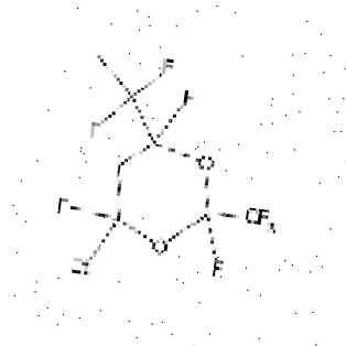 CCC1(F)CC(F)(C(C)(F)F)OC(F)(C(F)(F)F)O1